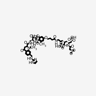 Cc1cc(OCCCC(=O)NCCC[C@H](C[C@H](CS(=O)(=O)O)NC(=O)C=S(=O)=O)CS(=O)(=O)O)cc(C)c1S(=O)(=O)N[C@@H](CNC(=O)C1CC(=O)c2ccc(CNc3ncc[nH]3)cc2N1C)C(=O)O